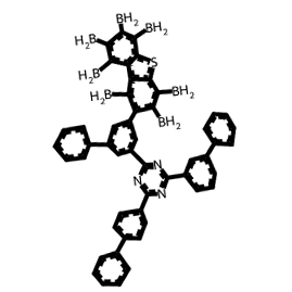 Bc1c(B)c(B)c2c(sc3c(B)c(B)c(-c4cc(-c5ccccc5)cc(-c5nc(-c6ccc(-c7ccccc7)cc6)nc(-c6cccc(-c7ccccc7)c6)n5)c4)c(B)c32)c1B